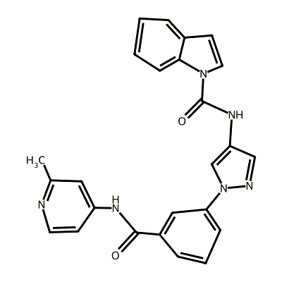 Cc1cc(NC(=O)c2cccc(-n3cc(NC(=O)n4ccc5ccccc54)cn3)c2)ccn1